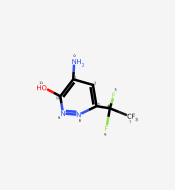 Nc1cc(C(F)(F)C(F)(F)F)nnc1O